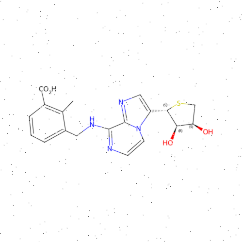 Cc1c(CNc2nccn3c([C@@H]4SC[C@@H](O)[C@H]4O)cnc23)cccc1C(=O)O